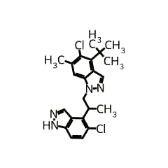 Cc1cc2c(cnn2CC(C)c2c(Cl)ccc3[nH]ncc23)c(C(C)(C)C)c1Cl